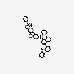 c1ccc(-c2nc3cc4c(cc3o2)oc2ccc(N(c3ccc(-c5cccc6c5sc5ccccc56)cc3)c3ccccc3-c3ccccc3)cc24)cc1